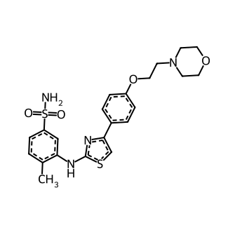 Cc1ccc(S(N)(=O)=O)cc1Nc1nc(-c2ccc(OCCN3CCOCC3)cc2)cs1